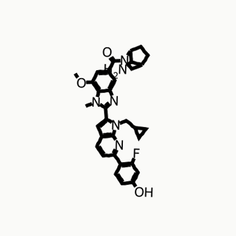 COc1cc(C(=O)N2CC3CCC2C3N)cc2nc(-c3cc4ccc(-c5ccc(O)cc5F)nc4n3CC3CC3)n(C)c12